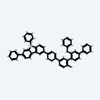 Cc1ccc(C2=CC=C(c3ccc4c(c3)c3ccc(-c5ccccc5)cc3n4-c3ccccc3)CC2)cc1-c1ccc(-c2ccccc2)cc1Cc1ccccc1